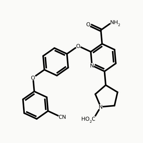 N#Cc1cccc(Oc2ccc(Oc3nc(C4CCN(C(=O)O)C4)ccc3C(N)=O)cc2)c1